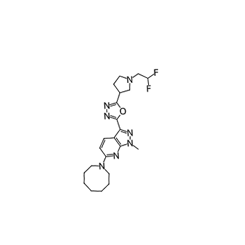 Cn1nc(-c2nnc(C3CCN(CC(F)F)C3)o2)c2ccc(N3CCCCCCC3)nc21